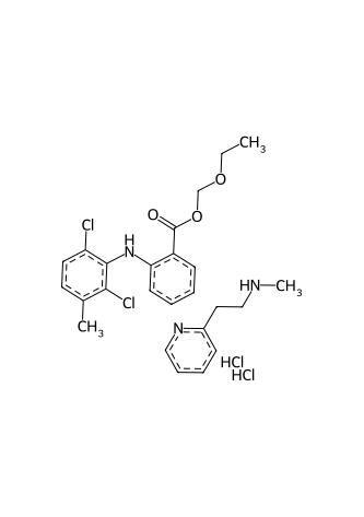 CCOCOC(=O)c1ccccc1Nc1c(Cl)ccc(C)c1Cl.CNCCc1ccccn1.Cl.Cl